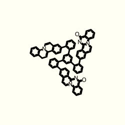 O=c1nc2c3ccc(-c4ccccc4-c4cc(-c5ccccc5-c5ccc6c(c5)C=CN5C6=CCc6ccccc65)cc(-c5ccccc5-c5ccc6c(ccn7c8ccccc8c(=O)nc67)c5)c4)cc3ccn2c2ccccc12